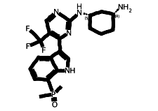 CP(C)(=O)c1cccc2c(-c3nc(N[C@H]4CCC[C@@H](N)C4)ncc3C(F)(F)F)c[nH]c12